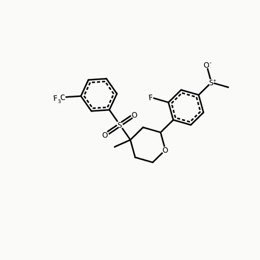 C[S+]([O-])c1ccc(C2CC(C)(S(=O)(=O)c3cccc(C(F)(F)F)c3)CCO2)c(F)c1